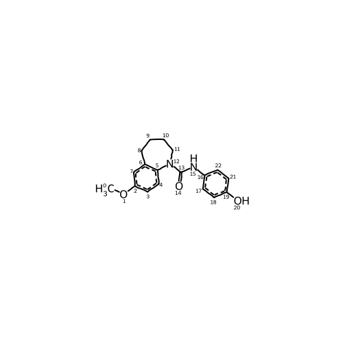 COc1ccc2c(c1)CCCCN2C(=O)Nc1ccc(O)cc1